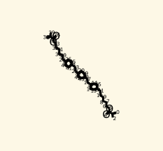 C=C(C)C(=O)OCCCCCCc1ccc(CCc2ccc(CCc3ccc(CCCCCCOC(=O)C(=C)C)cc3)cc2)cc1